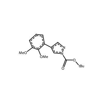 COc1c[c]cc(-c2cnn(C(=O)OC(C)(C)C)c2)c1OC